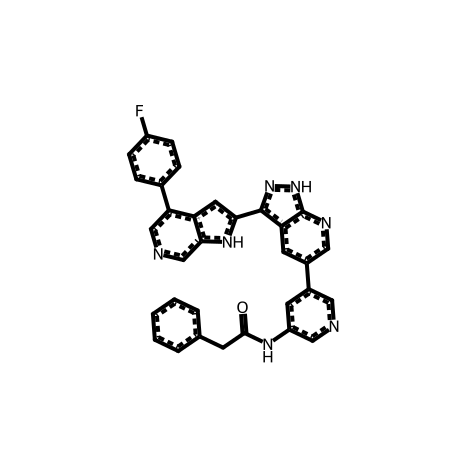 O=C(Cc1ccccc1)Nc1cncc(-c2cnc3[nH]nc(-c4cc5c(-c6ccc(F)cc6)cncc5[nH]4)c3c2)c1